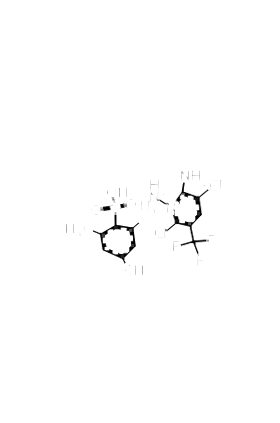 Cc1cc(C)c(S(=O)(=O)O)c(C)c1.Nc1c(Cl)cc(C(F)(F)F)c(Cl)[n+]1N